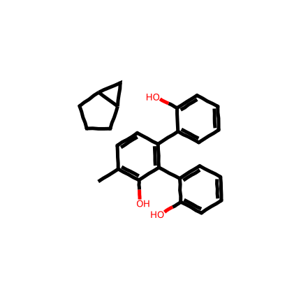 C1CC2CC2C1.Cc1ccc(-c2ccccc2O)c(-c2ccccc2O)c1O